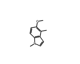 COc1ccc2c(ccn2C)c1C